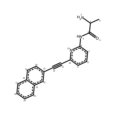 CC(N)C(=O)Nc1cccc(C#Cc2ccc3ccccc3c2)n1